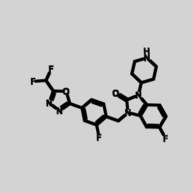 O=c1n(Cc2ccc(-c3nnc(C(F)F)o3)cc2F)c2cc(F)ccc2n1C1CCNCC1